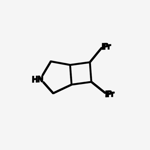 CC(C)C1C2CNCC2C1C(C)C